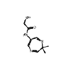 CC(C)(C)CC(=O)NC1=CN=CC(C)(C)N=C1